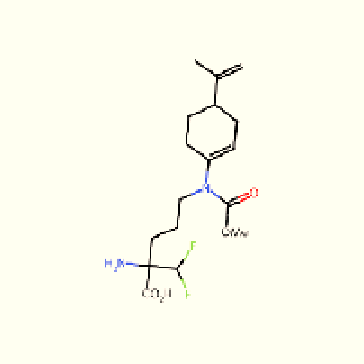 C=C(C)C1CC=C(N(CCCC(N)(C(=O)O)C(F)F)C(=O)OC)CC1